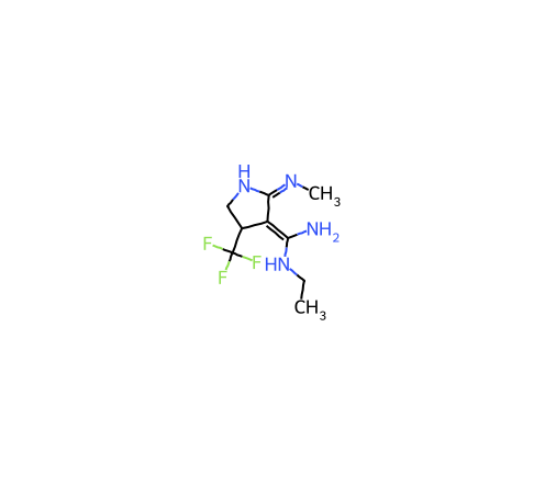 CCN/C(N)=C1/C(=N\C)NCC1C(F)(F)F